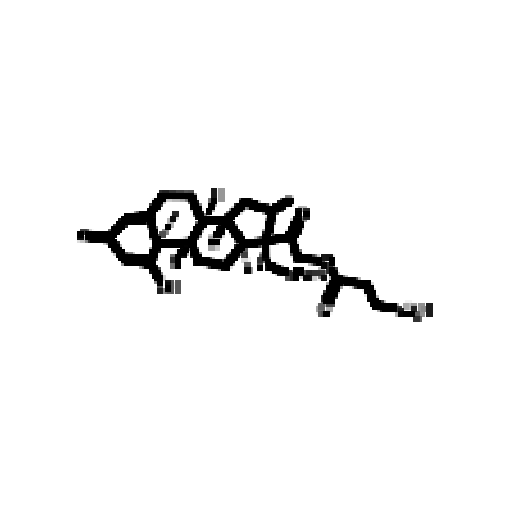 CCCCCO[C@]1(C(=O)COC(=O)CCS(=O)(=O)O)C(C)C[C@H]2[C@@H]3CCC4=CC(=O)C=C(O)[C@]4(C)[C@H]3CC[C@@]21C